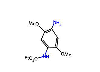 CCOC(=O)Nc1cc(OC)c(N)cc1OC